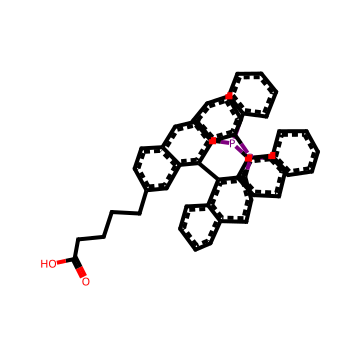 O=C(O)CCCCc1ccc2ccc(P(c3ccccc3)c3ccccc3)c(-c3c(P(c4ccccc4)c4ccccc4)ccc4ccccc34)c2c1